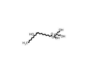 CCCCCC[C@@H](O)C/C=C\CCCCCCCC(=O)OB(O)ON(CCO)CCO